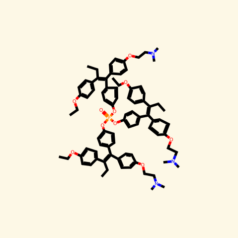 CCOc1ccc(/C(CC)=C(/c2ccc(OCCN(C)C)cc2)c2ccc(OP(=O)(Oc3ccc(/C(=C(/CC)c4ccc(OCC)cc4)c4ccc(OCCN(C)C)cc4)cc3)Oc3ccc(/C(=C(/CC)c4ccc(OCC)cc4)c4ccc(OCCN(C)C)cc4)cc3)cc2)cc1